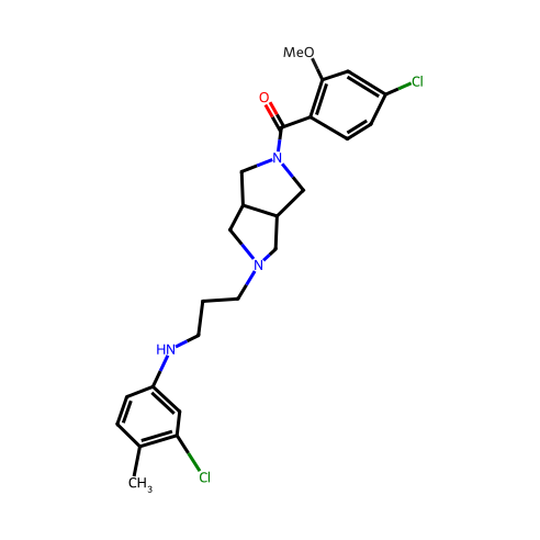 COc1cc(Cl)ccc1C(=O)N1CC2CN(CCCNc3ccc(C)c(Cl)c3)CC2C1